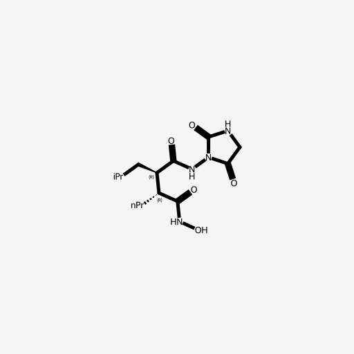 CCC[C@@H](C(=O)NO)[C@@H](CC(C)C)C(=O)NN1C(=O)CNC1=O